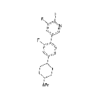 CCCC1CCC(c2ccc(-c3cnc(F)c(F)c3)c(F)c2)CC1